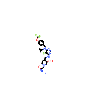 NC(=O)CN1CCC(CNc2ncnc(N(Cc3ccc(OC(F)F)cc3)C3CC3)c2F)C(O)C1